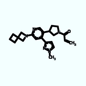 C=CC(=O)N1CCC(c2cnc(N3CC4(CCC4)C3)cc2-c2ccn(C)n2)C1